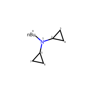 CCCCN(C1CC1)C1CC1